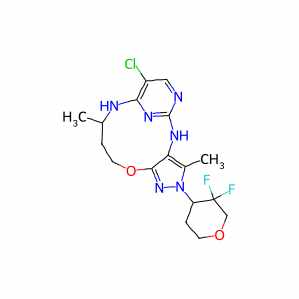 Cc1c2c(nn1C1CCOCC1(F)F)OCCC(C)Nc1nc(ncc1Cl)N2